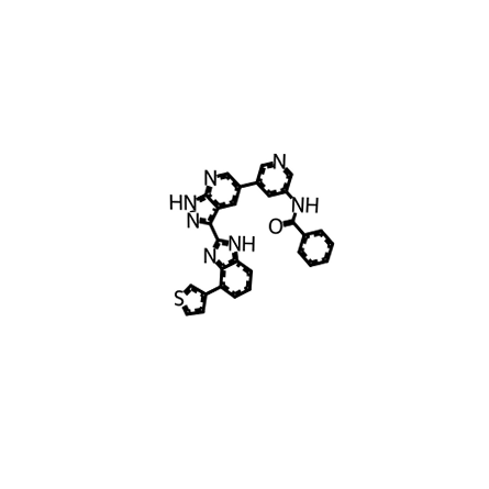 O=C(Nc1cncc(-c2cnc3[nH]nc(-c4nc5c(-c6ccsc6)cccc5[nH]4)c3c2)c1)c1ccccc1